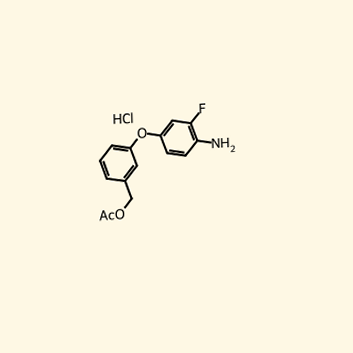 CC(=O)OCc1cccc(Oc2ccc(N)c(F)c2)c1.Cl